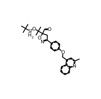 Cc1cc(COc2ccc(C3=NOC(C=O)(C(C)(C)O[SiH2]C(C)(C)C)C3)cc2)c2ccccc2n1